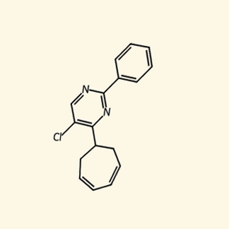 Clc1cnc(-c2ccccc2)nc1C1CC=CC=CC1